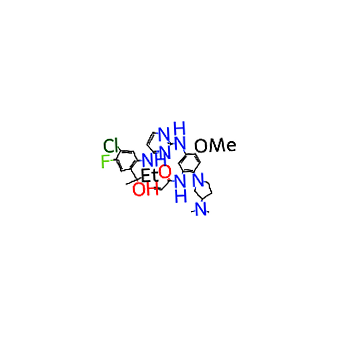 C=CC(=O)Nc1cc(Nc2nccc(Nc3cc(Cl)c(F)cc3C(C)(O)CC)n2)c(OC)cc1N1CC[C@@H](N(C)C)C1